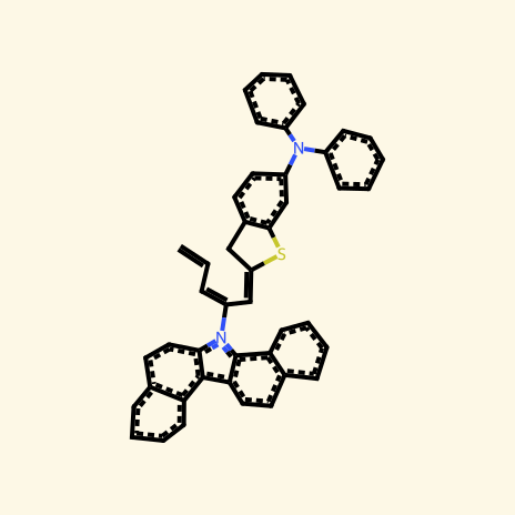 C=C/C=C(\C=C1/Cc2ccc(N(c3ccccc3)c3ccccc3)cc2S1)n1c2ccc3ccccc3c2c2ccc3ccccc3c21